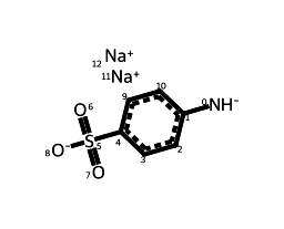 [NH-]c1ccc(S(=O)(=O)[O-])cc1.[Na+].[Na+]